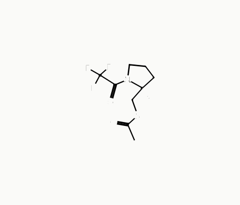 CC(=O)SC[C@]1(C)CCCN1C(=O)C(F)(F)F